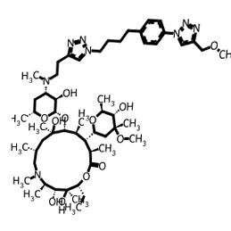 CC[C@H]1OC(=O)[C@H](C)[C@@H](C2C[C@@](C)(OC)[C@@H](O)[C@H](C)O2)[C@H](C)[C@@H](O[C@@H]2O[C@H](C)C[C@H](N(C)CCc3cn(CCCCc4ccc(-n5cc(COC)nn5)cc4)nn3)[C@H]2O)[C@](C)(O)C[C@@H](C)CN(C)[C@H](C)[C@@H](O)[C@]1(C)O